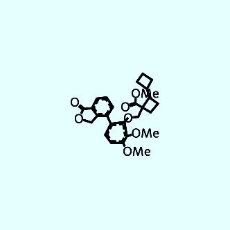 COC(=O)C1(COc2c(-c3cccc4c3COC4=O)ccc(OC)c2OC)CCC1C1CCC1